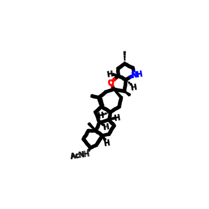 CC(=O)N[C@H]1CC[C@@]2(C)[C@H](CC[C@H]3[C@@H]4CC[C@@]5(CC(C)=C4C[C@@H]32)O[C@@H]2C[C@H](C)CN[C@H]2[C@H]5C)C1